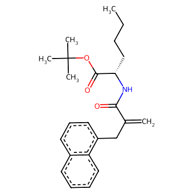 C=C(Cc1cccc2ccccc12)C(=O)N[C@@H](CCCC)C(=O)OC(C)(C)C